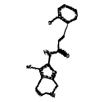 N#Cc1c(NC(=O)C=Cc2ccccc2Cl)sc2c1CCNC2